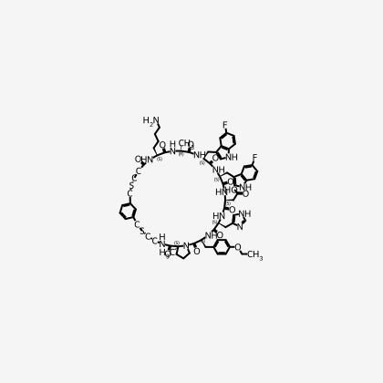 CCOc1ccc(C[C@@H]2NC(=O)[C@H](Cc3c[nH]cn3)NC(=O)[C@H](CC(=O)O)NC(=O)[C@H](Cc3c[nH]c4ccc(F)cc34)NC(=O)[C@H](Cc3c[nH]c4ccc(F)cc34)NC(=O)[C@@H](C)NC(=O)[C@H](CCCCN)NC(=O)CCSCc3cccc(c3)CSCCNC(=O)[C@]3(C)CCCN3C2=O)cc1